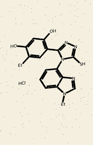 CCc1cc(-c2nnc(S)n2-c2cccc3c2ncn3CC)c(O)cc1O.Cl